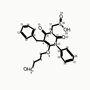 O=CCCCOc1c(Cc2ccccc2)c(=O)n(CS(=O)O)c(=O)n1-c1ccccc1